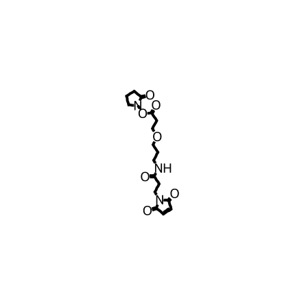 O=C(CCN1C(=O)C=CC1=O)NCCCOCCC(=O)ON1CCCC1=O